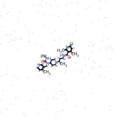 Cc1ccncc1CN(C(=O)NC(C)C)C1CCN([C@H](C)CCNC(=O)c2c(C)cc(Cl)nc2C)CC1